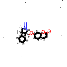 O=c1ccc2ccc(OC[C@@]34CNC[C@@H]3c3ccccc34)cc2o1